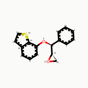 c1ccc([C@H](Oc2cccc3ccsc23)[C@@H]2CO2)cc1